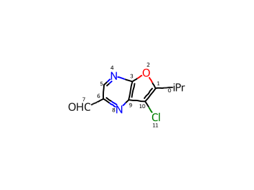 CC(C)c1oc2ncc(C=O)nc2c1Cl